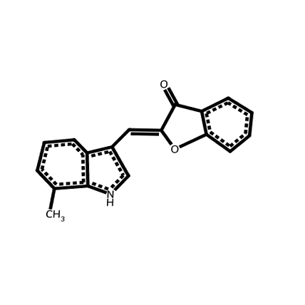 Cc1cccc2c(C=C3Oc4ccccc4C3=O)c[nH]c12